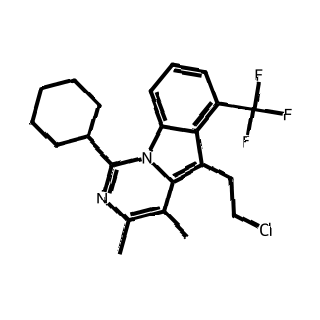 Cc1nc(C2CCCCC2)n2c(c1C)c(CCCl)c1c(C(F)(F)F)cccc12